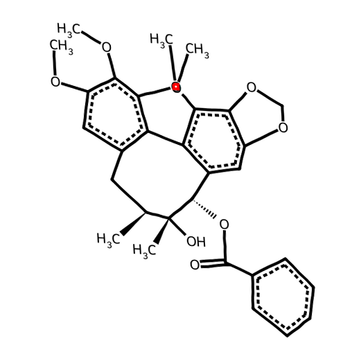 COc1cc2c(c(OC)c1OC)-c1c(cc3c(c1OC)OCO3)[C@H](OC(=O)c1ccccc1)[C@](C)(O)[C@@H](C)C2